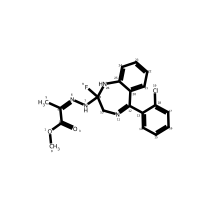 COC(=O)C(C)=NNC1(F)CN=C(c2ccccc2Cl)c2ccccc2N1